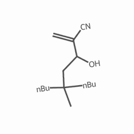 C=C(C#N)C(O)CC(C)(CCCC)CCCC